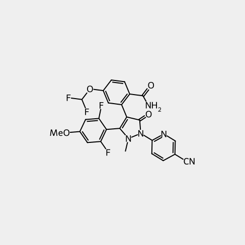 COc1cc(F)c(-c2c(-c3cc(OC(F)F)ccc3C(N)=O)c(=O)n(-c3ccc(C#N)cn3)n2C)c(F)c1